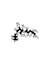 CCC(C(=O)OCC(F)(F)C(F)(F)F)C(C)(CC)OC(=O)CCC(C)(C)CC